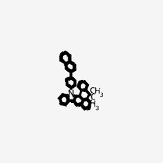 CC1(C)c2ccccc2-c2c3c1cccc3cc1c3ccccc3n(-c3ccc(-c4ccc5ccccc5c4)cc3)c21